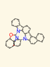 c1ccc(-n2c3ccc4ccccc4c3c3ccc4c5ccccc5n(-c5nc6ccccc6o5)c4c32)cc1